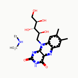 CCNC(=O)O.Cc1cc2nc3c(=O)[nH]c(=O)nc-3n(C[C@H](O)[C@H](O)[C@H](O)CO)c2cc1C